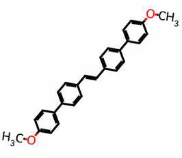 COc1ccc(-c2ccc(C=Cc3ccc(-c4ccc(OC)cc4)cc3)cc2)cc1